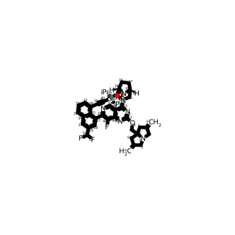 C=C1CN2CC(=C)CC2(COc2nc(N3C[C@H]4CC[C@@H](C3)N4C(=O)O)c3cnc(-c4cc(C(F)F)cc5cccc(C#C[Si](C(C)C)(C(C)C)C(C)C)c45)c(F)c3n2)C1